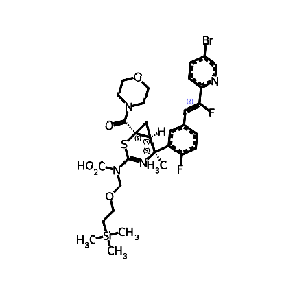 C[C@]1(c2cc(/C=C(\F)c3ccc(Br)cn3)ccc2F)N=C(N(COCC[Si](C)(C)C)C(=O)O)S[C@@]2(C(=O)N3CCOCC3)C[C@H]21